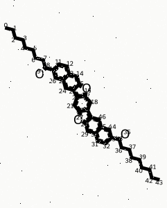 CCCCCCCCC(=O)c1ccc2cc3oc4cc5c(cc4c3cc2c1)oc1cc2ccc(C(=O)CCCCCCCC)cc2cc15